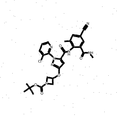 CNC(=O)c1cc(C#N)cc(C)c1NC(=O)c1cc(OC2CN(C(=O)OC(C)(C)C)C2)nn1-c1ncccc1Cl